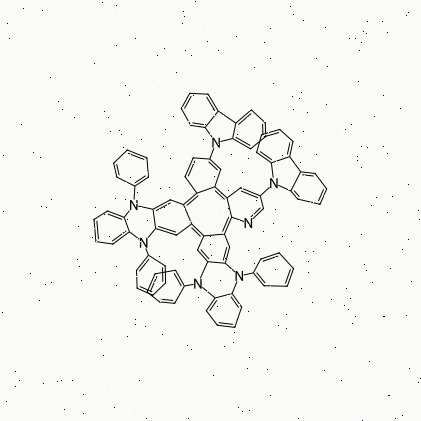 c1ccc(-n2c3ccccc3n(-c3ccccc3)c3cc4c(cc32)c2ccc(-n3c5ccccc5c5ccccc53)cc2c2cc(-n3c5ccccc5c5ccccc53)cnc2c2cc3c(cc42)n(-c2ccccc2)c2ccccc2n3-c2ccccc2)cc1